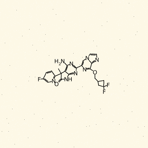 CC1(c2ccc(F)cn2)C(=O)Nc2nc(-c3cn4ccnc4c(OCC4CC(F)(F)C4)n3)nc(N)c21